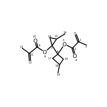 C=C(C)C(=O)OC1(C2(OC(=O)C(=C)C)CC2C)CC(C)C1